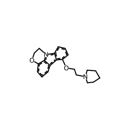 c1cc2c3c(c1)c1c(OCCN4CCCCC4)cccc1n3CCO2